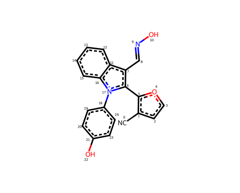 N#Cc1ccoc1-c1c(C=NO)c2ccccc2n1-c1ccc(O)cc1